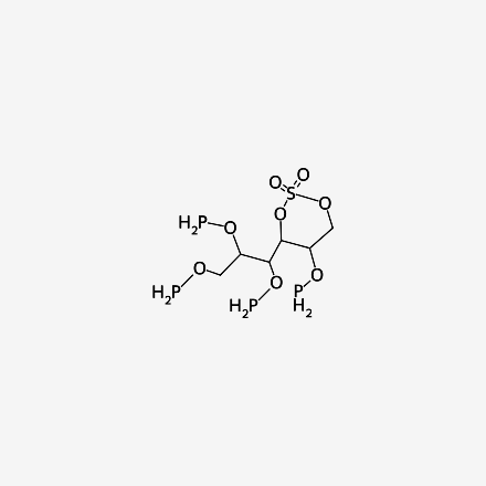 O=S1(=O)OCC(OP)C(C(OP)C(COP)OP)O1